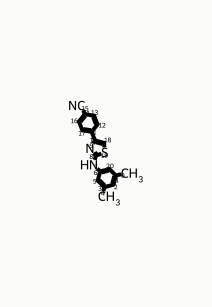 Cc1cc(C)cc(Nc2nc(-c3ccc(C#N)cc3)cs2)c1